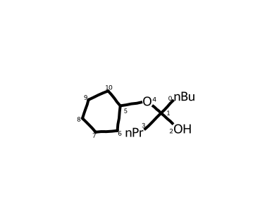 CCCCC(O)(CCC)OC1CCCCC1